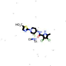 CCNCC.Cc1[nH]c(C(=O)N[C@@H]2CCN(c3ncc(C(=O)O)s3)C[C@@H]2F)c(Cl)c1Cl